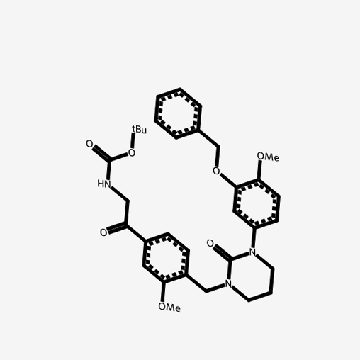 COc1cc(C(=O)CNC(=O)OC(C)(C)C)ccc1CN1CCCN(c2ccc(OC)c(OCc3ccccc3)c2)C1=O